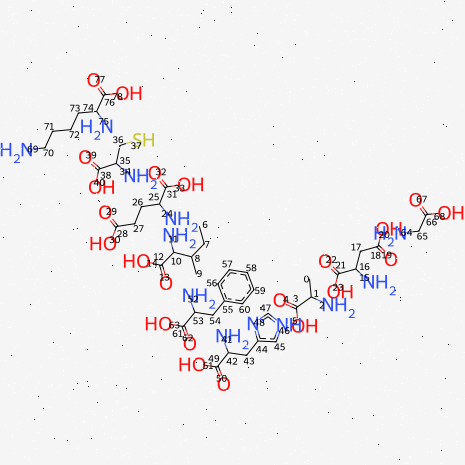 CC(N)C(=O)O.CCC(C)C(N)C(=O)O.NC(CC(=O)O)C(=O)O.NC(CCC(=O)O)C(=O)O.NC(CS)C(=O)O.NC(Cc1c[nH]cn1)C(=O)O.NC(Cc1ccccc1)C(=O)O.NCC(=O)O.NCCCCC(N)C(=O)O